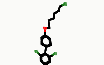 ClCCCCCCOc1ccc(-c2c(Cl)cccc2Cl)cc1